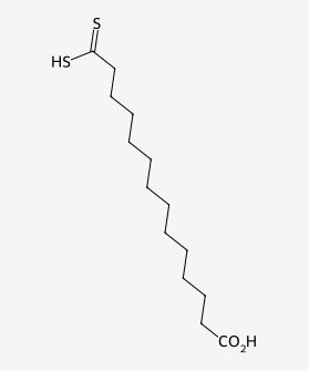 O=C(O)CCCCCCCCCCCCC(=S)S